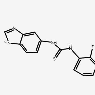 Fc1ccccc1NC(=S)Nc1ccc2[nH]cnc2c1